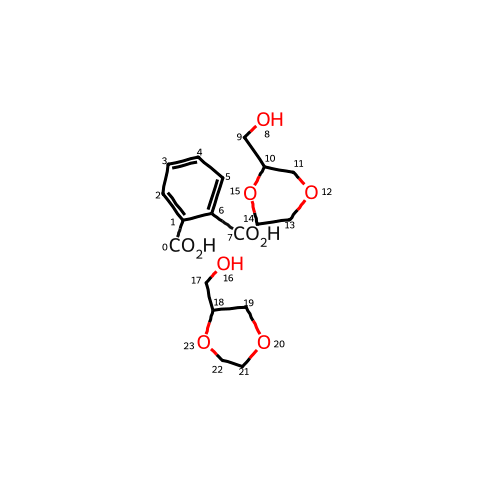 O=C(O)c1ccccc1C(=O)O.OCC1COCCO1.OCC1COCCO1